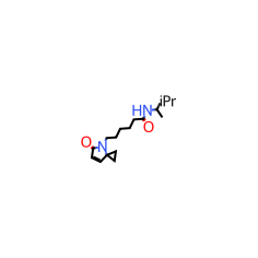 CC(C)C(C)NC(=O)CCCCCN1C(=O)C=CC12CC2